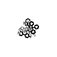 COc1cc(-c2ccc(F)c(C)c2NC(=O)N=S(=O)(NC(c2ccccc2)(c2ccccc2)c2ccccc2)c2cnn3c2OCCC3)ccn1